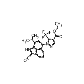 CCOC(=O)c1cnn(-c2cc(C(C)C)c3[nH]c(=C=O)c4cccc2c34)c1C(F)(F)F